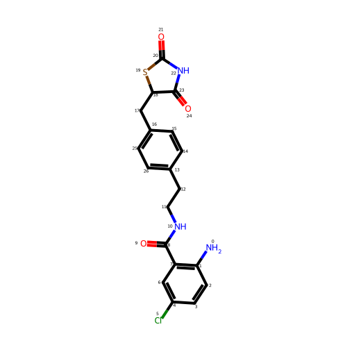 Nc1ccc(Cl)cc1C(=O)NCCc1ccc(CC2SC(=O)NC2=O)cc1